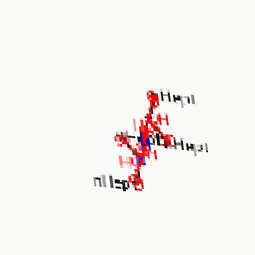 CCCCCCCC(=O)OCCCCCCCC(O)CN(CCCC(=O)OCCN1CC(C)N(CCOC(=O)CCCN(CC(O)CCCCCCCOC(=O)CCCCCCC)CC(O)CCCCCCCOC(=O)CCCCCCC)CC1C)CC(O)CCCCCCCOC(=O)CCCCCCC